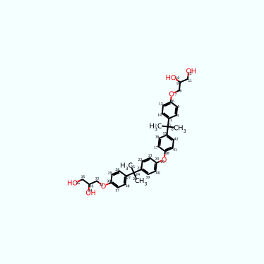 CC(C)(c1ccc(OCC(O)CO)cc1)c1ccc(Oc2ccc(C(C)(C)c3ccc(OCC(O)CO)cc3)cc2)cc1